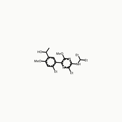 CCc1cc(OC)c(C(C)O)cc1-c1nc(CC)c(NC(CC)CC)nc1OC